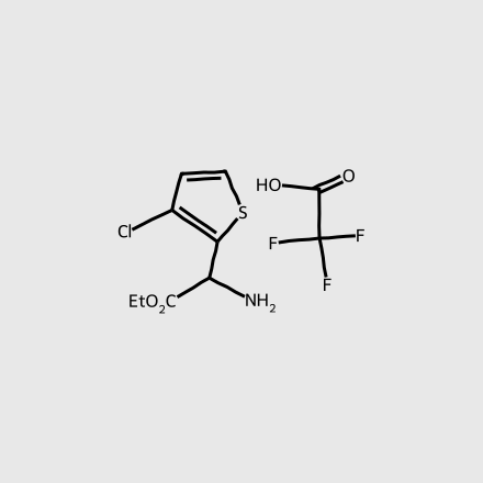 CCOC(=O)C(N)c1sccc1Cl.O=C(O)C(F)(F)F